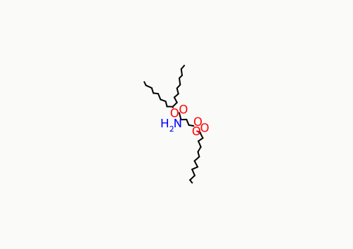 CCCCCCCCCCCC(=O)OC(=O)CC[C@H](N)C(=O)OC(CCCCCCCC)CCCCCCCCC